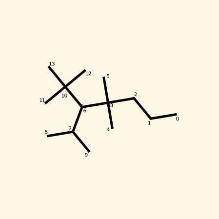 CCCC(C)(C)[C](C(C)C)C(C)(C)C